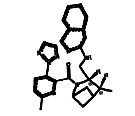 Cc1ccc(-n2nccn2)c(C(=O)N2C3CC(C3)[C@@H](C)[C@H]2CNc2cc3ccccc3cn2)n1